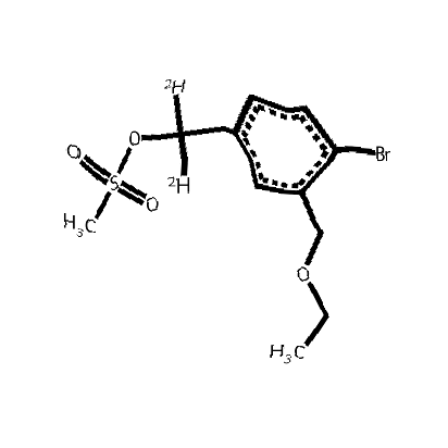 [2H]C([2H])(OS(C)(=O)=O)c1ccc(Br)c(COCC)c1